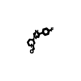 O=CN1CCCC(n2cnc(-c3ccc(F)cc3)c2)C1